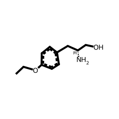 CCOc1ccc(C[C@@H](N)CO)cc1